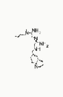 C/C=C/CN(C)/C(N)=C/N=C(/N)CNCc1ccc2ncccc2c1